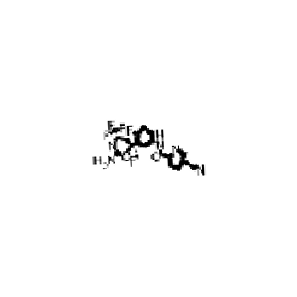 N#Cc1ccc(C(=O)Nc2ccc(F)c([C@]3(CF)C[C@@H](C(F)(F)F)N=C(N)O3)c2)nc1